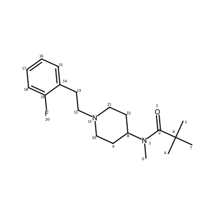 CN(C(=O)C(C)(C)C)C1CCN(CCc2ccccc2F)CC1